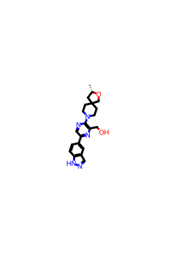 C[C@H]1CC2(CCN(c3ncc(-c4ccc5[nH]ncc5c4)nc3CO)CC2)CO1